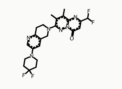 Cc1c(N2CCc3ncc(N4CCC(F)(F)CC4)cc3C2)nn2c(=O)cc(C(F)F)nc2c1C